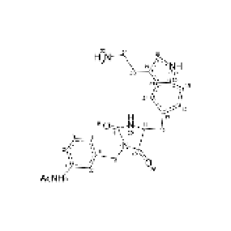 CC(=O)Nc1cccc(CN2C(=O)NC(Cc3ccc4[nH]cc(CCN)c4c3)C2=O)c1